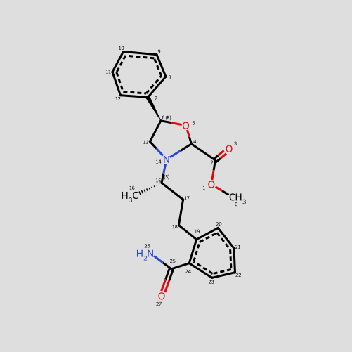 COC(=O)C1O[C@H](c2ccccc2)CN1[C@@H](C)CCc1ccccc1C(N)=O